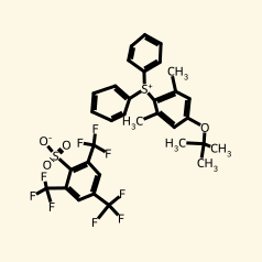 Cc1cc(OC(C)(C)C)cc(C)c1[S+](c1ccccc1)c1ccccc1.O=S(=O)([O-])c1c(C(F)(F)F)cc(C(F)(F)F)cc1C(F)(F)F